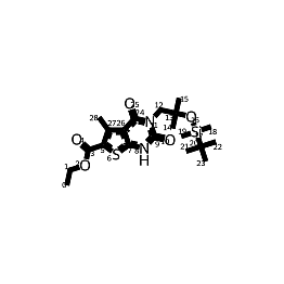 CCOC(=O)c1sc2[nH]c(=O)n(CC(C)(C)O[Si](C)(C)C(C)(C)C)c(=O)c2c1C